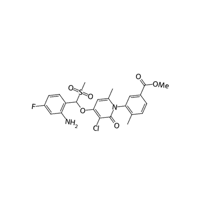 COC(=O)c1ccc(C)c(-n2c(C)cc(OC(c3ccc(F)cc3N)S(C)(=O)=O)c(Cl)c2=O)c1